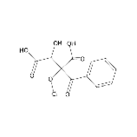 O=C(O)C(O)C(OCl)(C(=O)O)C(=O)c1ccccc1